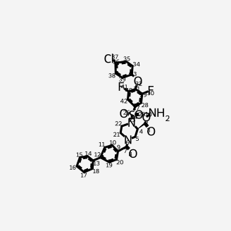 NOC(=O)[C@H]1CN(C(=O)c2ccc(-c3ccccc3)cc2)CCN1S(=O)(=O)c1cc(F)c(Oc2ccc(Cl)cc2)c(F)c1